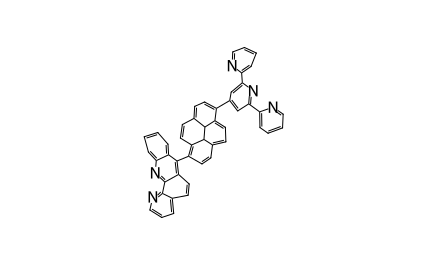 C1=CC2=C(c3c4ccccc4nc4c3ccc3cccnc34)C=CC3=CC=C4C(c5cc(-c6ccccn6)nc(-c6ccccn6)c5)=CC=C1C4C32